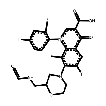 O=CNCC1CN(c2c(F)cc3c(=O)c(C(=O)O)cn(-c4ccc(F)cc4F)c3c2F)CCO1